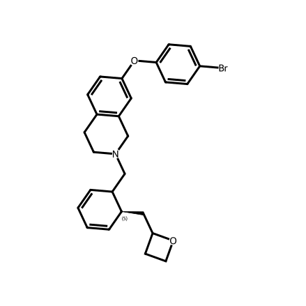 Brc1ccc(Oc2ccc3c(c2)CN(CC2C=CC=C[C@@H]2CC2CCO2)CC3)cc1